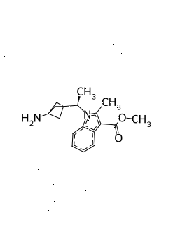 COC(=O)c1c(C)n([C@H](C)C23CC(N)(C2)C3)c2ccccc12